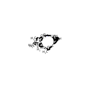 C=C1C[C@@H]2CC[C@@]34C[C@H]5O[C@H]6[C@@H](O3)C(C)[C@H](CC/C=C/C(=O)CC3[C@H](CC7O[C@@H](CCC1O2)C[C@@H](C)C7=C)O[C@H](C[C@H](C)CO[Si](CC)(CC)CC)[C@@H]3C)O[C@H]6C5O4